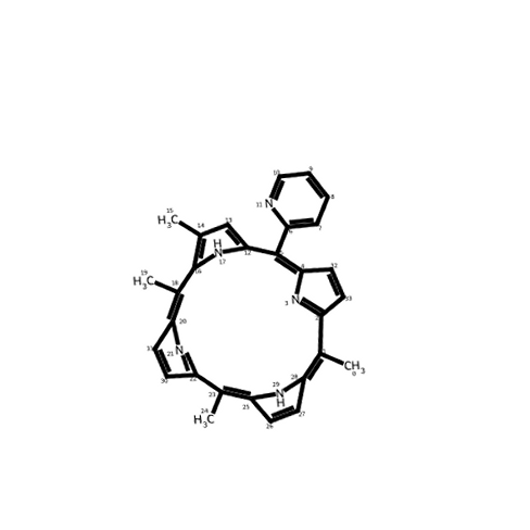 Cc1c2nc(c(-c3ccccn3)c3cc(C)c([nH]3)c(C)c3nc(c(C)c4ccc1[nH]4)C=C3)C=C2